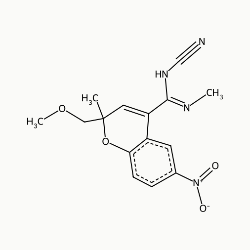 CN=C(NC#N)C1=CC(C)(COC)Oc2ccc([N+](=O)[O-])cc21